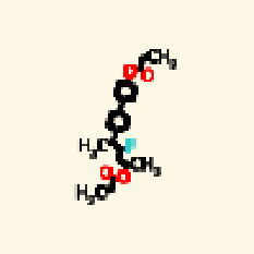 C=CC(=O)O/C(C)=C/C(F)=C(\C)c1ccc(-c2ccc(OC(=O)C=C)cc2)cc1